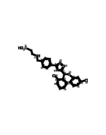 O=C(O)CCNCc1ccc(-c2noc(C(Oc3cccc(Cl)c3)c3ccccc3Cl)n2)cc1